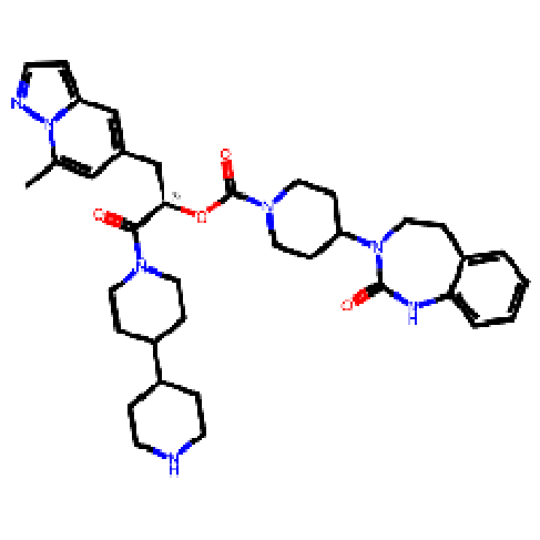 Cc1cc(C[C@@H](OC(=O)N2CCC(N3CCc4ccccc4NC3=O)CC2)C(=O)N2CCC(C3CCNCC3)CC2)cc2ccnn12